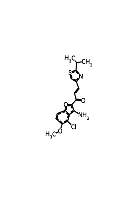 COc1ccc2oc(C(=O)/C=C/c3csc(C(C)C)n3)c(N)c2c1Cl